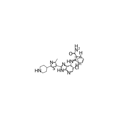 Cc1nc(C2CCNCC2)sc1-c1nc2c(N[C@H]3[C@@H](C(N)=O)[C@@H]4C=C[C@H]3C4)c(Cl)cnc2[nH]1